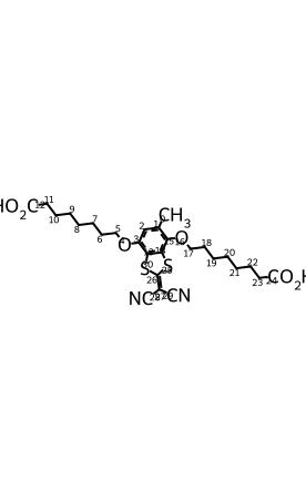 Cc1cc(OCCCCCCCC(=O)O)c2c(c1OCCCCCCCC(=O)O)SC(=C(C#N)C#N)S2